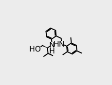 Cc1cc(C)c(NCc2ccccc2N[C@H](CO)C(C)C)c(C)c1